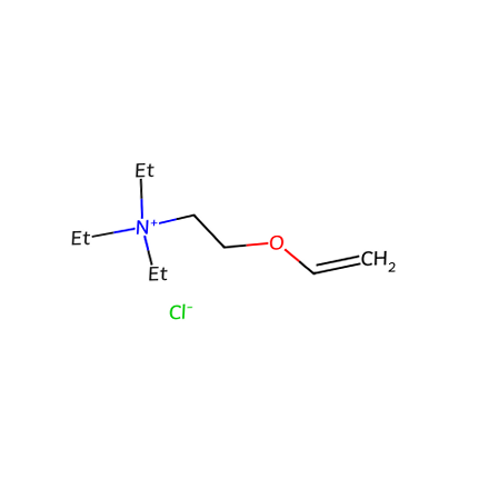 C=COCC[N+](CC)(CC)CC.[Cl-]